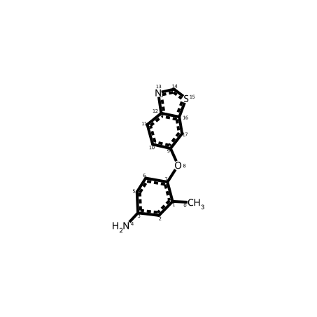 Cc1cc(N)ccc1Oc1ccc2ncsc2c1